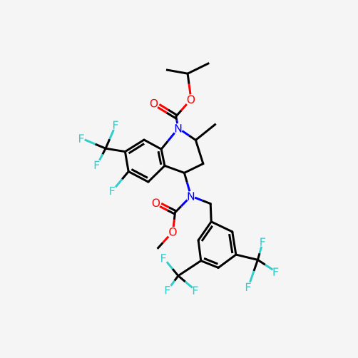 COC(=O)N(Cc1cc(C(F)(F)F)cc(C(F)(F)F)c1)C1CC(C)N(C(=O)OC(C)C)c2cc(C(F)(F)F)c(F)cc21